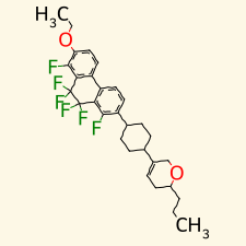 CCCC1CC=C(C2CCC(c3ccc4c(c3F)C(F)(F)C(F)(F)c3c-4ccc(OCC)c3F)CC2)CO1